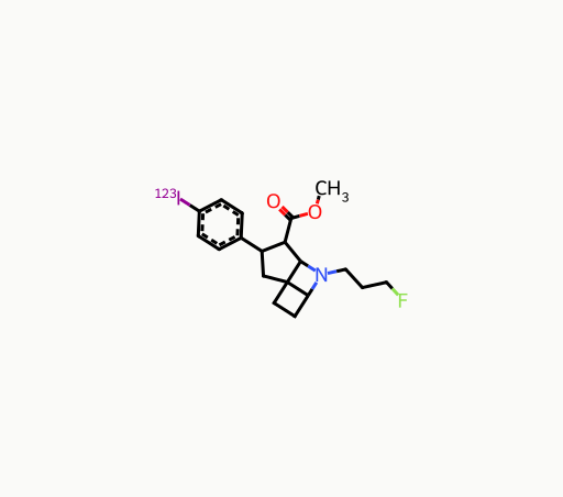 COC(=O)C1C(c2ccc([123I])cc2)CC23CCC2N(CCCF)C13